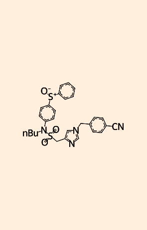 CCCCN(c1ccc([S+]([O-])c2ccccc2)cc1)S(=O)(=O)Cc1cn(Cc2ccc(C#N)cc2)cn1